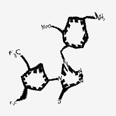 COc1cc(N)ccc1Cn1nnc(=O)n1-c1cc(C(F)(F)F)cc(C(F)(F)F)c1